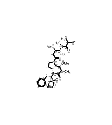 CCCCOP(=O)(O)[C@H](Cc1ccccc1)NC(=O)[C@H](C)[C@@H](OC)[C@@H]1CCCN1C(=O)C[C@@H](OC)[C@H]([C@@H](C)CC)N(C)C(=O)[C@@H](N)C(C)C